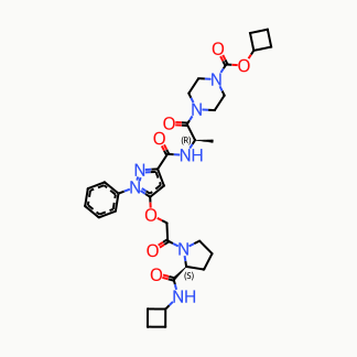 C[C@@H](NC(=O)c1cc(OCC(=O)N2CCC[C@H]2C(=O)NC2CCC2)n(-c2ccccc2)n1)C(=O)N1CCN(C(=O)OC2CCC2)CC1